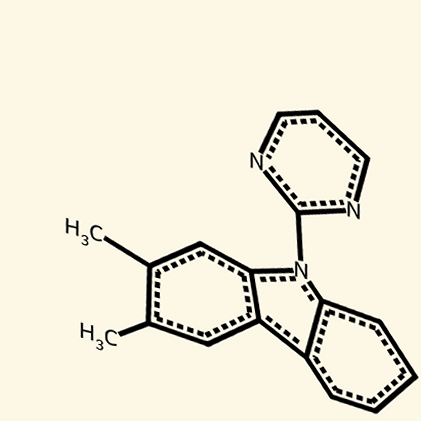 Cc1cc2c3ccccc3n(-c3ncccn3)c2cc1C